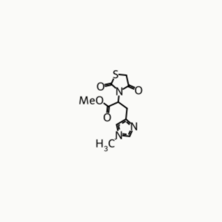 COC(=O)C(Cc1cn(C)cn1)N1C(=O)CSC1=O